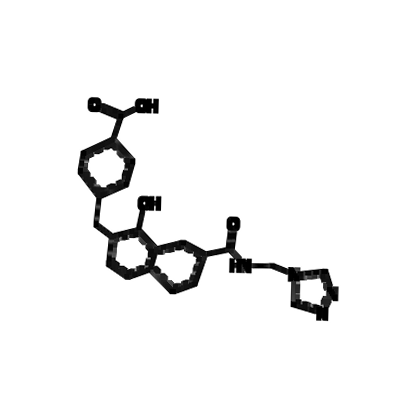 O=C(O)c1ccc(Cc2ccc3ccc(C(=O)NCn4cnnc4)cc3c2O)cc1